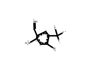 N=Cc1cc(C(F)(F)F)c(Br)cc1N